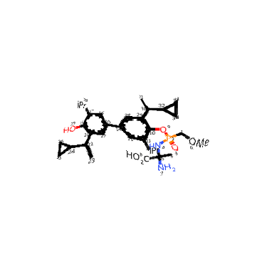 COCP(=O)(NC(C)(N)C(=O)O)Oc1c(C(C)C)cc(-c2cc(C(C)C)c(O)c(C(C)C3CC3)c2)cc1C(C)C1CC1